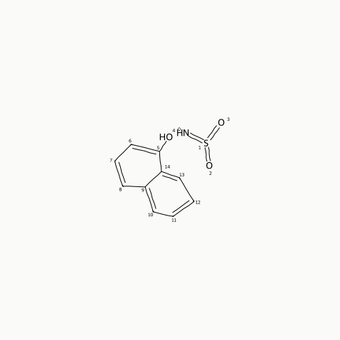 N=S(=O)=O.Oc1cccc2ccccc12